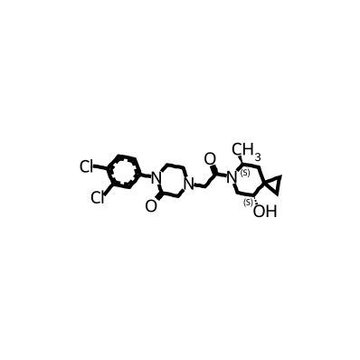 C[C@H]1CC2(CC2)[C@H](O)CN1C(=O)CN1CCN(c2ccc(Cl)c(Cl)c2)C(=O)C1